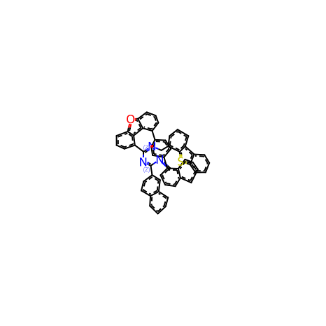 C=N/C(=N\C(=N/Cc1cccc2c1sc1ccccc12)c1cccc2oc3cccc(-c4ccc(-c5cccc6ccccc56)cc4)c3c12)c1ccc2ccccc2c1